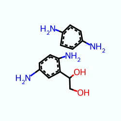 Nc1ccc(N)c(C(O)CO)c1.Nc1ccc(N)cc1